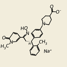 Cc1ccccc1[C@H](CC(=NO)c1ccc(=O)n(C)c1)c1ccc(N2CCC(C(=O)[O-])CC2)cc1.[Na+]